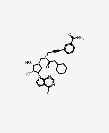 NC(=O)c1cccc(C#CCN(C[C@H]2C[C@@H](n3ccc4c(Cl)ncnc43)[C@H](O)[C@@H]2O)C(=O)CC2CCCCC2)c1